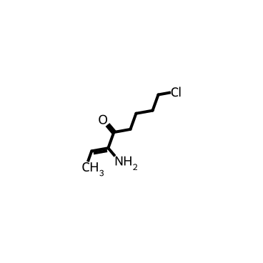 CC=C(N)C(=O)CCCCCl